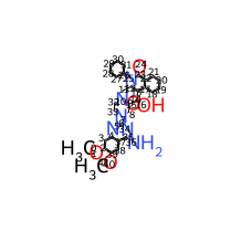 COc1cc2nc(N3CCN(Cc4c(C(=O)O)c5ccccc5c(=O)n4-c4ccccc4)CC3)nc(N)c2cc1OC